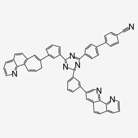 N#Cc1ccc(-c2ccc(-c3nc(-c4cccc(C5=Cc6ccc7cccnc7c6C=CC5)c4)nc(-c4cccc(-c5cnc6c(ccc7cccnc76)c5)c4)n3)cc2)cc1